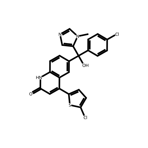 Cn1cncc1C(O)(c1ccc(Cl)cc1)c1ccc2[nH]c(=O)cc(-c3ccc(Cl)s3)c2c1